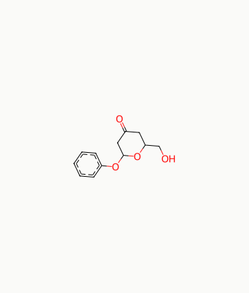 O=C1CC(CO)OC(Oc2ccccc2)C1